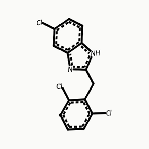 Clc1ccc2[nH]c(Cc3c(Cl)cccc3Cl)nc2c1